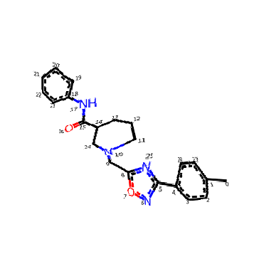 Cc1ccc(-c2noc(CN3CCCC(C(=O)Nc4ccccc4)C3)n2)cc1